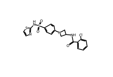 O=C(NC1CN(c2ccc(S(=O)(=O)Nc3nccs3)cc2)C1)c1ccccc1Cl